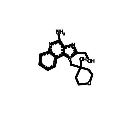 Nc1nc2ccccc2c2c1nc(CO)n2CC1(O)CCOCC1